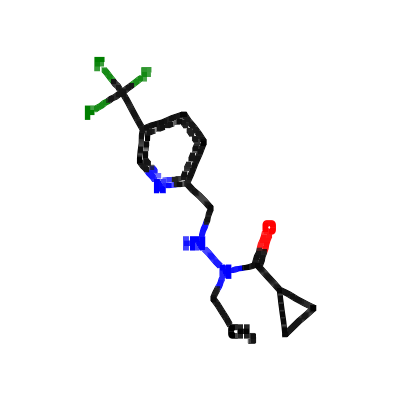 CCN(NCc1ccc(C(F)(F)F)cn1)C(=O)C1CC1